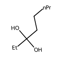 [CH2]CC(O)(O)CCCCC